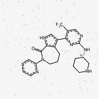 O=C1c2[nH]cc(-c3nc(N[C@H]4CCCNC4)ncc3C(F)(F)F)c2CCCN1c1ccccn1